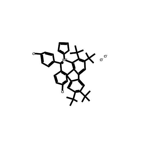 CC(C)(C)c1cc2c(cc1C(C)(C)C)-c1cc(C(C)(C)C)c(C(C)(C)C)[c]([Zr+2]([C]3=CC=CC3)=[C](c3ccc(Cl)cc3)c3ccc(Cl)cc3)c1C2.[Cl-].[Cl-]